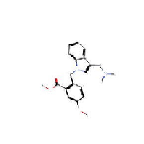 COC(=O)c1cc(OC)ccc1Cn1cc(CN(C)C)c2ccccc21